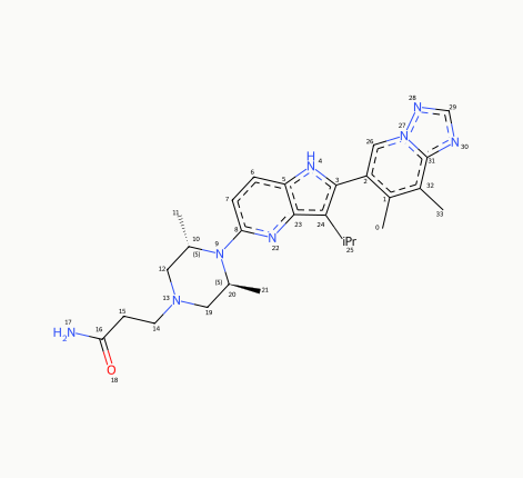 Cc1c(-c2[nH]c3ccc(N4[C@@H](C)CN(CCC(N)=O)C[C@@H]4C)nc3c2C(C)C)cn2ncnc2c1C